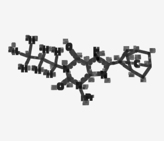 [2H]C([2H])([2H])C([2H])([2H])C([2H])([2H])n1c(=O)c2[nH]c(C34CC5CC(CC3C5)C4)nc2n(CCC)c1=O